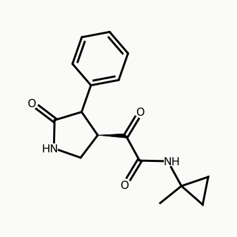 CC1(NC(=O)C(=O)[C@H]2CNC(=O)C2c2ccccc2)CC1